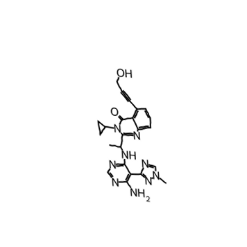 CC(Nc1ncnc(N)c1-c1ncn(C)n1)c1nc2cccc(C#CCO)c2c(=O)n1C1CC1